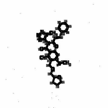 CSc1ccc(C(=O)N(C(=O)/C=C/c2ccccc2)c2nnnn2C)c(Cl)c1COCC1CCCO1